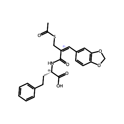 CC(=O)SC/C(=C/c1ccc2c(c1)OCO2)C(=O)N[C@@H](CCc1ccccc1)C(=O)O